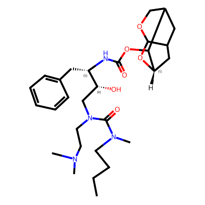 CCCCN(C)C(=O)N(CCN(C)C)C[C@@H](O)[C@H](Cc1ccccc1)NC(=O)OC1C2COC3O[C@H]1CC3C2